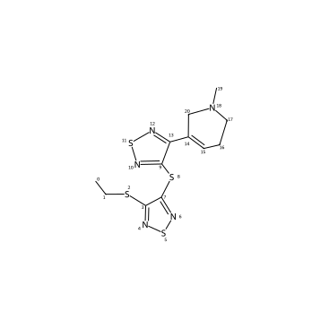 CCSc1nsnc1Sc1nsnc1C1=CCCN(C)C1